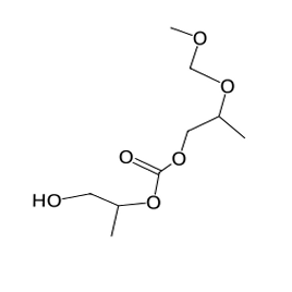 COCOC(C)COC(=O)OC(C)CO